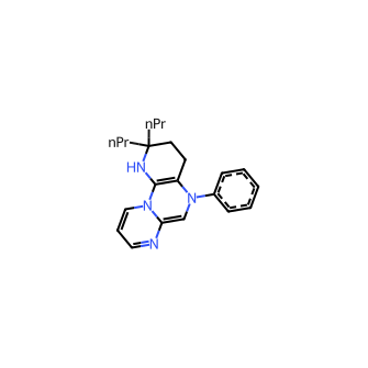 CCCC1(CCC)CCC2=C(N1)N1C=CC=NC1=CN2c1ccccc1